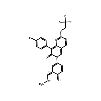 CN/C=C1/C=C(n2cc3cnc(OCC(F)(F)F)nc3c(-c3ccc(Cl)cc3)c2=O)C=CC1=N